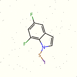 Fc1cc(F)c2c(ccn2SI)c1